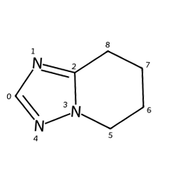 c1nc2n(n1)CCCC2